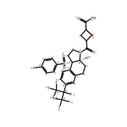 O=C(O)C12CC(C(=O)N3CC[C@]4(S(=O)(=O)c5ccc(F)cc5)c5ccc(C(F)(C(F)(F)F)C(F)(F)F)cc5CC[C@H]34)(C1)C2